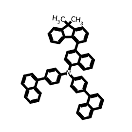 CC1(C)c2ccccc2-c2c(-c3ccc(N(c4ccc(-c5cccc6ccccc56)cc4)c4ccc(-c5cccc6ccccc56)cc4)c4ccccc34)cccc21